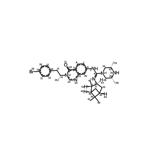 C[C@@H]1[C@@H](N=C(Nc2ccc3c(=O)n([C@H](C)Cc4ccc(Br)cc4)cnc3c2)N2C[C@@H](C)N[C@@H](C)C2)C[C@H]2C[C@@H]1C2(C)C